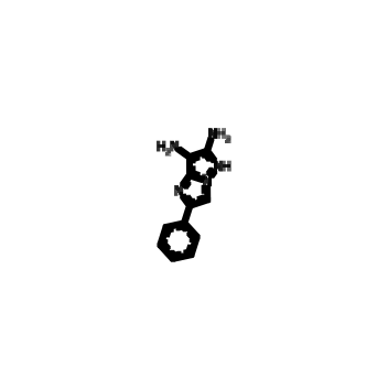 Nc1[nH]n2cc(-c3ccccc3)nc2c1N